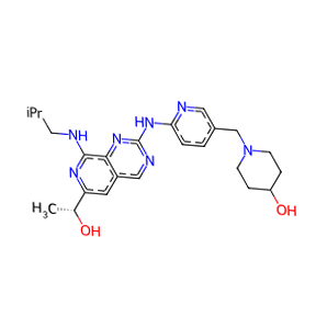 CC(C)CNc1nc([C@@H](C)O)cc2cnc(Nc3ccc(CN4CCC(O)CC4)cn3)nc12